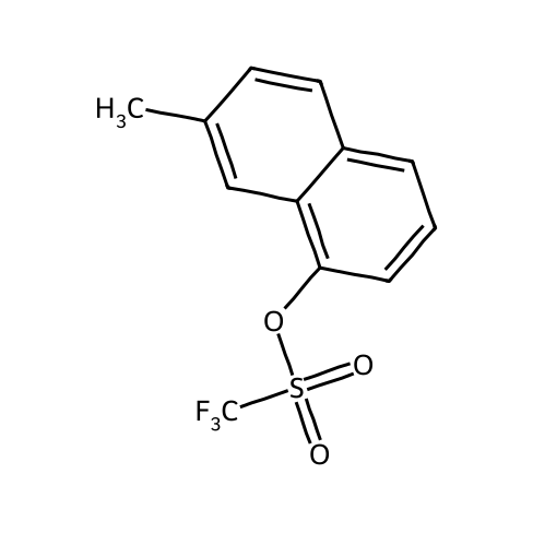 Cc1ccc2cccc(OS(=O)(=O)C(F)(F)F)c2c1